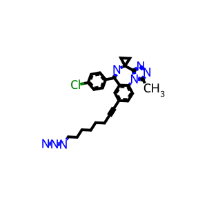 Cc1nnc2n1-c1ccc(C#CCCCCCCN=[N+]=[N-])cc1C(c1ccc(Cl)cc1)=NC21CC1